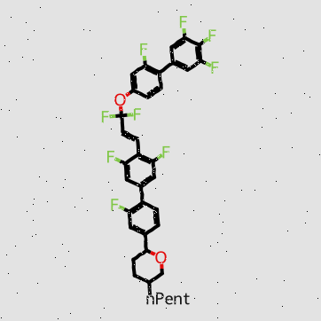 CCCCCC1CCC(c2ccc(-c3cc(F)c(/C=C/C(F)(F)Oc4ccc(-c5cc(F)c(F)c(F)c5)c(F)c4)c(F)c3)c(F)c2)OC1